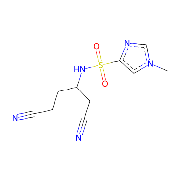 Cn1cnc(S(=O)(=O)NC(CC#N)CCC#N)c1